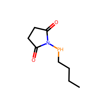 CCCCPN1C(=O)CCC1=O